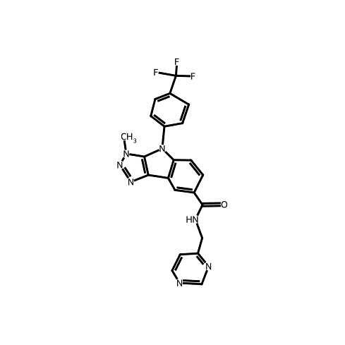 Cn1nnc2c3cc(C(=O)NCc4ccncn4)ccc3n(-c3ccc(C(F)(F)F)cc3)c21